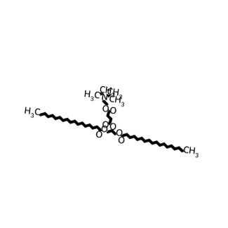 CCCCCCCCCCCCCCCCCC(=O)OCC(COC(=O)CCCCCCCCCCCCCCCCC)OC(=O)CCC(=O)OCCN(C(C)C)C(C)C